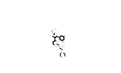 N#CCn1cc(-c2ccnc(NCCN3CCOCC3)n2)c(-c2cc(O)cc(Cl)c2)n1